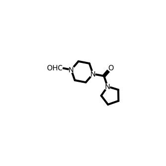 O=CN1CCN(C(=O)N2CCCC2)CC1